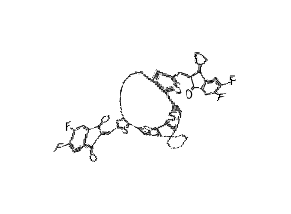 O=C1C(=Cc2cc3c(s2)-c2cc4c(s2)-c2sc(cc2C42CCCCC2)-c2sc(C=C4C(=O)c5cc(F)c(F)cc5C4=O)cc2CCCCCCC3)C(=O)c2cc(F)c(F)cc21